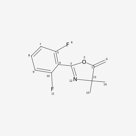 C=C1OC(c2c(F)cccc2F)=NC1(C)C